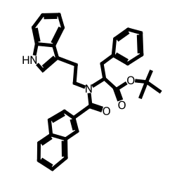 CC(C)(C)OC(=O)C(Cc1ccccc1)N(CCc1c[nH]c2ccccc12)C(=O)c1ccc2ccccc2c1